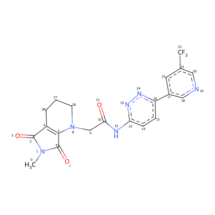 CN1C(=O)C2=C(C1=O)N(CC(=O)Nc1ccc(-c3cncc(C(F)(F)F)c3)nn1)CCC2